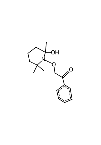 CC1(C)CCCC(C)(O)N1OCC(=O)c1ccccc1